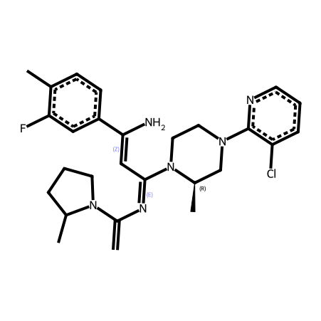 C=C(/N=C(\C=C(/N)c1ccc(C)c(F)c1)N1CCN(c2ncccc2Cl)C[C@H]1C)N1CCCC1C